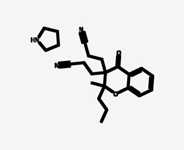 C1CCNC1.CCCC1(C)Oc2ccccc2C(=O)C1(CCC#N)CCC#N